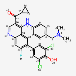 CN(C)Cc1ccc(Nc2c(C(=O)C3CC3)cnc3cc(F)c(-c4cc(Cl)c(O)c(Cl)c4)cc23)cc1